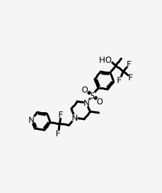 CC1CN(CC(F)(F)c2ccncc2)CCN1S(=O)(=O)c1ccc(C(C)(O)C(F)(F)F)cc1